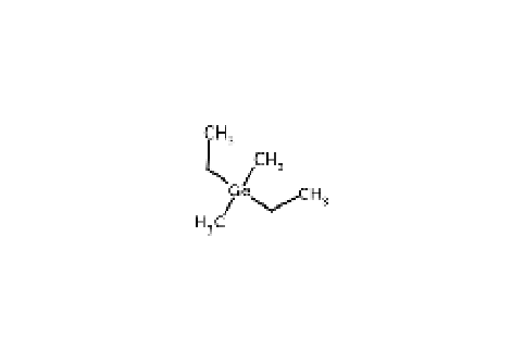 C[CH2][Ge]([CH3])([CH3])[CH2]C